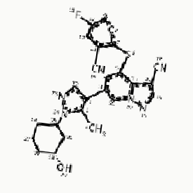 Cc1c(-c2cc(Sc3ccc(F)cc3C#N)c3c(C#N)cnn3c2)cnn1[C@@H]1CCC[C@@H](O)C1